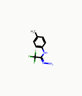 Cc1ccc(N/C(=N\N)C(F)(F)F)cc1